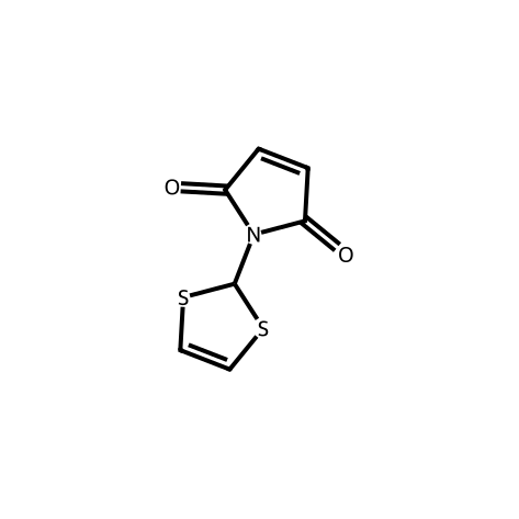 O=C1C=CC(=O)N1C1SC=CS1